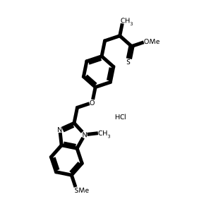 COC(=S)C(C)Cc1ccc(OCc2nc3ccc(SC)cc3n2C)cc1.Cl